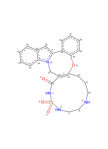 O=C1NS(=O)(=O)NCCNCCC/C2=C\1Cn1c(cc3ccccc31)-c1ccccc1O2